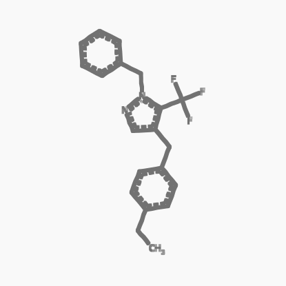 CCc1ccc(Cc2cnn(Cc3ccccc3)c2C(F)(F)F)cc1